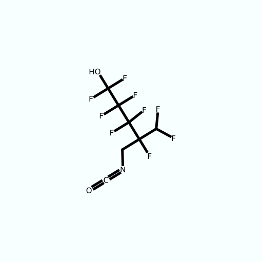 O=C=NCC(F)(C(F)F)C(F)(F)C(F)(F)C(O)(F)F